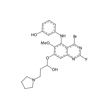 COc1c(OC(O)CCN2CCCC2)cc2nc(F)nc(Br)c2c1Nc1cccc(O)c1